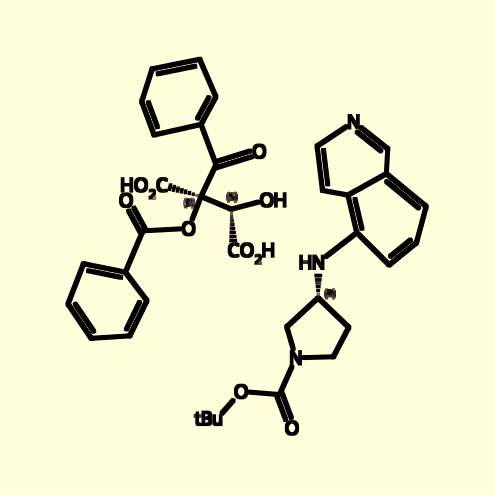 CC(C)(C)OC(=O)N1CC[C@@H](Nc2cccc3cnccc23)C1.O=C(O[C@@](C(=O)O)(C(=O)c1ccccc1)[C@H](O)C(=O)O)c1ccccc1